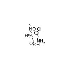 CCCCCCC(S)CCCC(=O)O.NCCc1ccc(O)c(O)c1